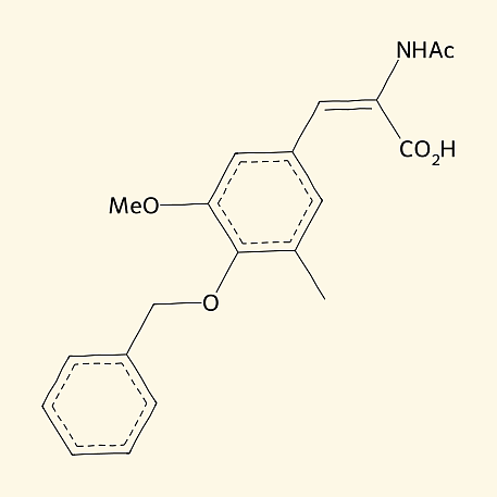 COc1cc(C=C(NC(C)=O)C(=O)O)cc(C)c1OCc1ccccc1